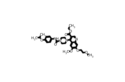 CCOC(=O)c1cnc2cc(OCCOC)c(OC)cc2c1N1CCN(C(=O)Nc2ccc(OC(C)C)cc2)CC1